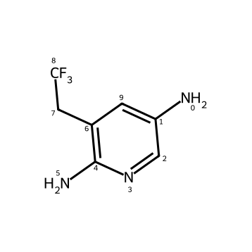 Nc1cnc(N)c(CC(F)(F)F)c1